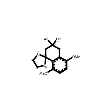 COc1ccc(OC)c2c1CC(O)(C(C)=O)CC21OCCO1